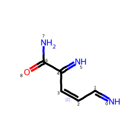 N=C/C=C\C(=N)C(N)=O